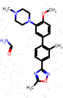 COc1ccc(-c2ccc(-c3noc(C)n3)cc2C)cc1N1CCN(C)CC1.NC=O